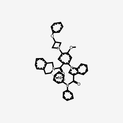 COc1cc(-n2cc(C(=O)N(c3ccccc3)c3ccccc3)c3ccccc32)c(C(=O)N2Cc3ccccc3C[C@H]2CN)cc1N1CC(Oc2ccccc2)C1